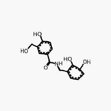 O=C(NCc1cccc(O)c1O)c1ccc(O)c(CO)c1